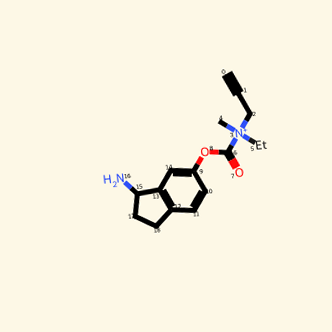 C#CC[N+](C)(CC)C(=O)Oc1ccc2c(c1)C(N)CC2